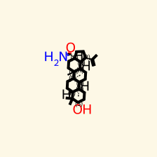 C=C(C)[C@@H]1CC[C@]2(C(N)=O)CC[C@]3(C)[C@H](CC[C@@H]4[C@@]5(C)CC[C@H](O)C(C)(C)[C@@H]5CC[C@]43C)[C@@H]12